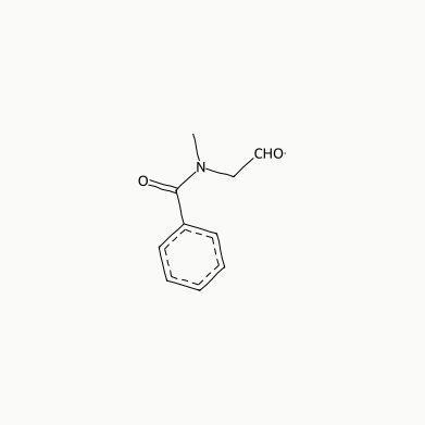 CN(C[C]=O)C(=O)c1ccccc1